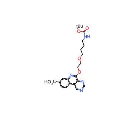 CC(C)(C)OC(=O)NCCCCOCCOc1nc2cc(C(=O)O)ccc2c2cncnc12